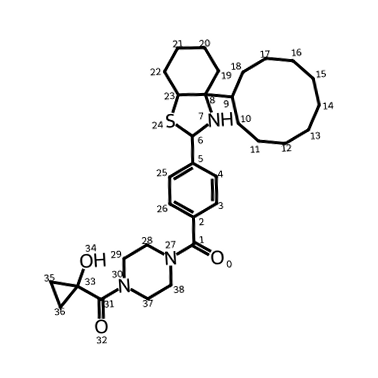 O=C(c1ccc(C2NC3(C4CCCCCCCCC4)CCCCC3S2)cc1)N1CCN(C(=O)C2(O)CC2)CC1